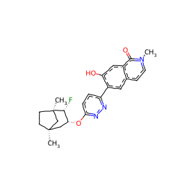 Cn1ccc2cc(-c3ccc(O[C@@H]4C[C@@]5(C)CC[C@](C)(C5)[C@@H]4F)nn3)c(O)cc2c1=O